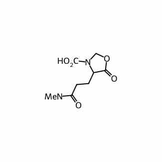 CNC(=O)CCC1C(=O)OCN1C(=O)O